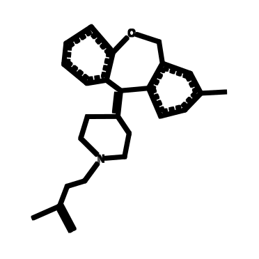 C=C(C)CCN1CCC(=C2c3ccc(C)cc3COc3ccccc32)CC1